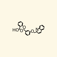 O=C(O)c1ccccc1OCc1cccc(OCc2ccc3ccccc3n2)c1